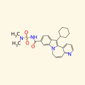 CN(C)S(=O)(=O)NC(=O)c1ccc2c(C3CCCCC3)c3n(c2c1)CC=Cc1ncccc1-3